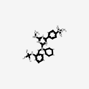 CNc1nc(-c2ccc(S(C)(=O)=O)cc2)nc(N(Cc2ccccc2OC(F)(F)F)C2CCCCC2)n1